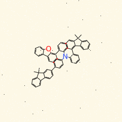 CC1(C)c2ccccc2-c2ccc(-c3ccc(N(c4ccccc4-c4cccc5c4-c4ccccc4C5(C)C)c4ccccc4-c4cccc5c4oc4ccccc45)cc3)cc21